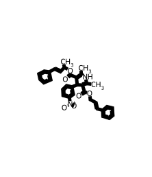 CC1=C(C(=O)OC/C=C/c2ccccc2)C(c2cccc([N+](=O)[O-])c2)C(C(=O)OC(C)C=Cc2ccccc2)=C(C)N1